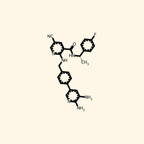 C[C@H](NC(=O)c1cc(C#N)cnc1NCc1ccc(-c2cnc(N)c(N)c2)cc1)c1ccc(F)cc1